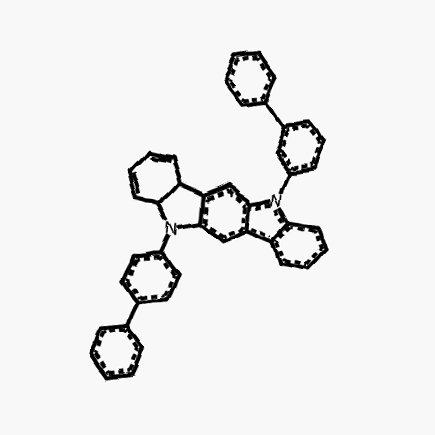 C1=CC2c3cc4c(cc3N(c3ccc(-c5ccccc5)cc3)C2C=C1)c1ccccc1n4-c1cccc(-c2ccccc2)c1